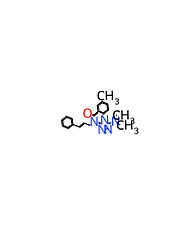 Cc1ccc2c(c1)c(=O)n(C/C=C/c1ccccc1)c1nnc(N(C)C)n21